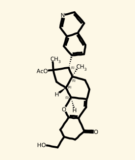 CC(=O)OC1(C)C[C@H]2[C@@H]3OC4=C(C=C3CC[C@]2(C)[C@H]1c1ccc2ccncc2c1)C(=O)CC(CO)C4